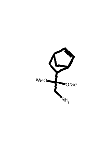 COC(C[SiH3])(OC)C1CC2C=CC1C2